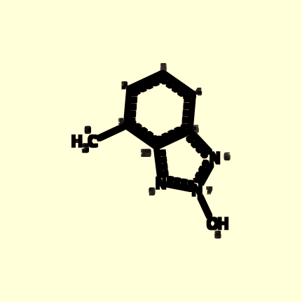 Cc1cccc2nn(O)nc12